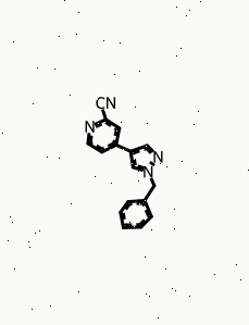 N#Cc1cc(-c2cnn(Cc3ccccc3)c2)ccn1